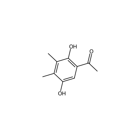 CC(=O)c1cc(O)c(C)c(C)c1O